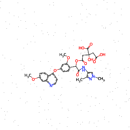 COc1ccc2c(Oc3ccc(C(OC(=O)CC(O)(CC(=O)O)C(=O)O)C(=O)Nc4cn(C)nc4C)c(OC)c3)ccnc2c1